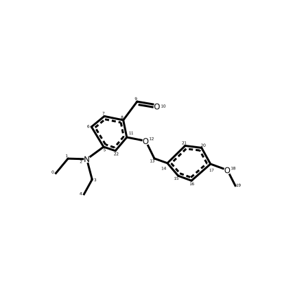 CCN(CC)c1ccc(C=O)c(OCc2ccc(OC)cc2)c1